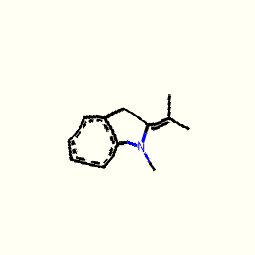 CC(C)=C1Cc2ccccc2N1C